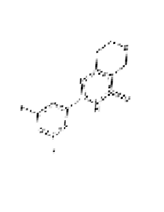 O=c1[nH]c(-c2cc(F)cc(F)c2)nc2c1CSCC2